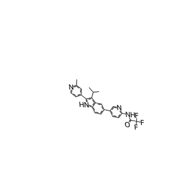 Cc1cc(-c2[nH]c3ccc(-c4ccc(NC(=O)C(F)(F)F)nc4)cc3c2C(C)C)ccn1